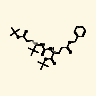 CC(C)(C)OC(=O)CC[C@H](NC(=O)N[C@@H](CCC(=O)OCc1ccccc1)C(=O)OC(C)(C)C)C(C)(C)C